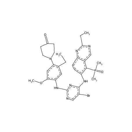 CCc1ncc2c(P(C)(C)=O)c(Nc3nc(Nc4cc(CC)c(N5CCC(=O)CC5)cc4OC)ncc3Br)ccc2n1